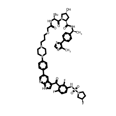 Cc1ncsc1-c1ccc([C@H](C)NC(=O)[C@@H]2C[C@@H](O)CN2C(=O)[C@@H](NC(=O)COCCCN2CCN(c3ccc(-c4cnc5[nH]cc(C(=O)c6c(F)ccc(NS(=O)(=O)N7CC[C@@H](F)C7)c6F)c5c4)cc3)CC2)C(C)(C)C)cc1